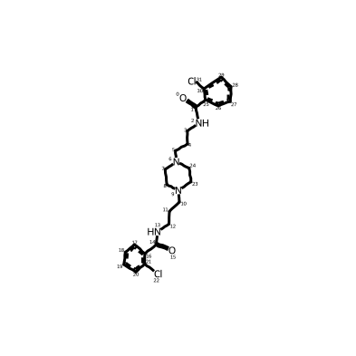 O=C(NCCCN1CCN(CCCNC(=O)c2ccccc2Cl)CC1)c1ccccc1Cl